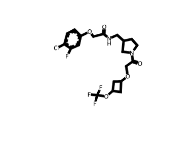 O=C(COc1ccc(Cl)c(F)c1)NCC1CCN(C(=O)COC2CC(OC(F)(F)F)C2)C1